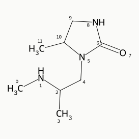 CNC(C)CN1C(=O)NCC1C